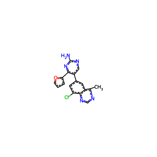 Cc1ncnc2c(Cl)cc(-c3cnc(N)nc3-c3ccco3)cc12